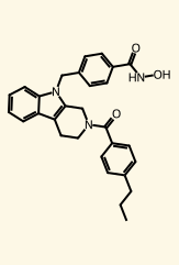 CCCc1ccc(C(=O)N2CCc3c(n(Cc4ccc(C(=O)NO)cc4)c4ccccc34)C2)cc1